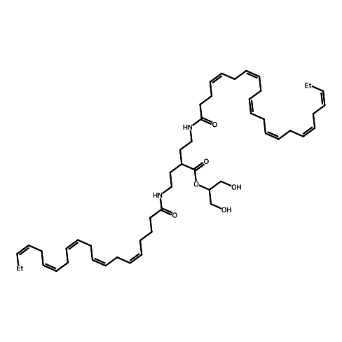 CC/C=C\C/C=C\C/C=C\C/C=C\C/C=C\C/C=C\CCC(=O)NCCC(CCNC(=O)CCC/C=C\C/C=C\C/C=C\C/C=C\C/C=C\CC)C(=O)OC(CO)CO